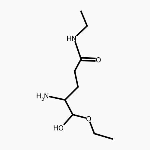 CCNC(=O)CCC(N)C(O)OCC